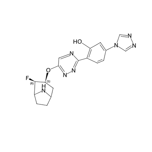 Oc1cc(-n2cnnc2)ccc1-c1ncc(O[C@H]2CC3CCC(N3)[C@H]2F)nn1